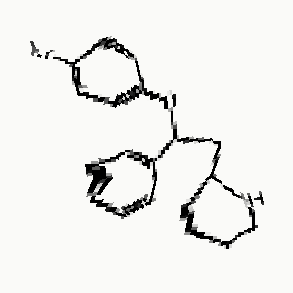 N#Cc1ccc(OC(CC2CCCCN2)c2ccccc2)cc1